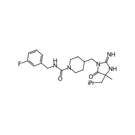 CC(C)CC1(C)NC(=N)N(CC2CCN(C(=O)NCc3cccc(F)c3)CC2)C1=O